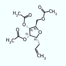 C=CC[C@H]1O[C@H](COC(C)=O)[C@@H](OC(C)=O)[C@H]1OC(C)=O